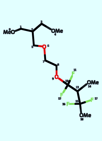 COCC(COC)COCCOC(F)(F)C(OC)C(F)(F)OC